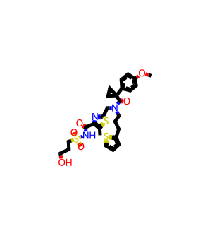 COc1ccc(C2(C(=O)N(CCCc3cccs3)Cc3nc(C(=O)NS(=O)(=O)CCCO)c(C)s3)CC2)cc1